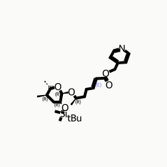 C[C@H](CC/C=C/C(=O)OCc1ccncc1)O[C@@H]1O[C@@H](C)[C@H](C)C[C@H]1O[Si](C)(C)C(C)(C)C